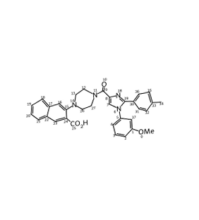 COc1cccc(-n2cc(C(=O)N3CCN(c4cc5ccccc5cc4C(=O)O)CC3)nc2-c2ccc(C)cc2)c1